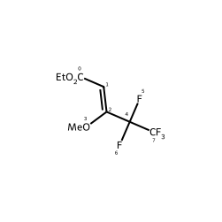 CCOC(=O)/C=C(\OC)C(F)(F)C(F)(F)F